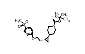 CC(C)(C)OC(=O)N1CCC([C@H]2C[C@@H]2CCOc2ccc(S(C)(=O)=O)cn2)CC1